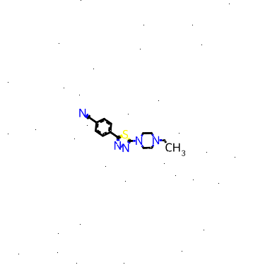 CCN1CCN(c2nnc(-c3ccc(C#N)cc3)s2)CC1